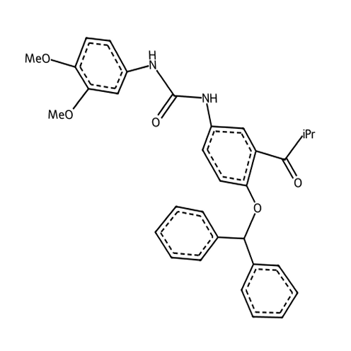 COc1ccc(NC(=O)Nc2ccc(OC(c3ccccc3)c3ccccc3)c(C(=O)C(C)C)c2)cc1OC